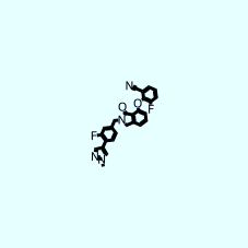 Cn1cc(-c2ccc(CN3Cc4cccc(Oc5c(F)cccc5C#N)c4C3=O)cc2F)cn1